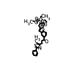 CCOP(=O)(OCC)C(Cc1cc2cc(C(=O)CCc3nc(-c4ccccc4)sc3C)ccc2s1)P1(=O)OCCO1